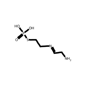 NCC=NCCSP(=O)(O)O